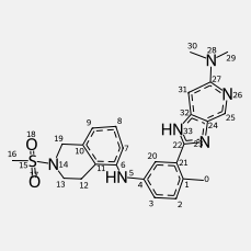 Cc1ccc(Nc2cccc3c2CCN(S(C)(=O)=O)C3)cc1-c1nc2cnc(N(C)C)cc2[nH]1